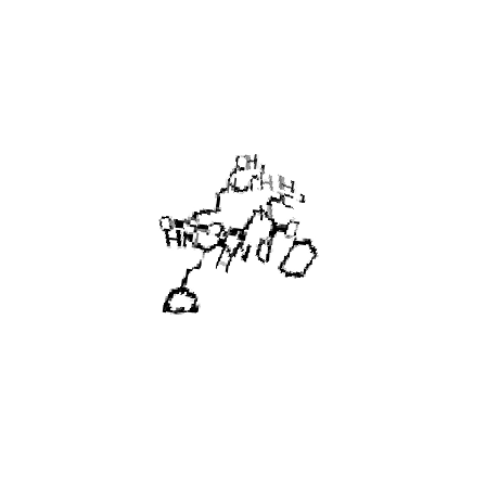 CCN(CC)CCCS(=O)(=O)N[C@H](CCc1ccccc1)c1nc(CN(CC)C(=O)OC2CCCCC2)n[nH]1